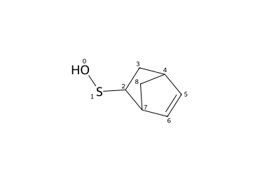 OSC1CC2C=CC1C2